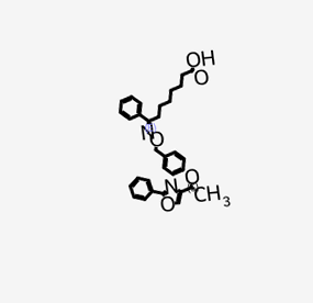 C[C@H](Oc1ccc(CO/N=C(\CCCCCCC(=O)O)c2ccccc2)cc1)c1coc(-c2ccccc2)n1